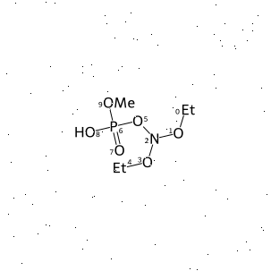 CCON(OCC)OP(=O)(O)OC